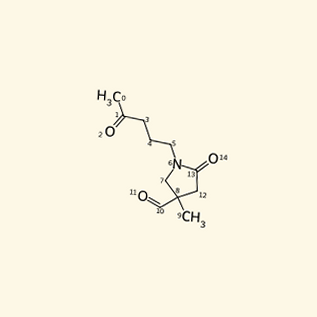 CC(=O)CCCN1CC(C)(C=O)CC1=O